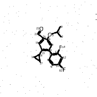 CC(C)Oc1cc(-c2ccc(F)cc2F)c(C2CC2)cc1C=O